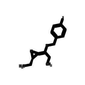 CC/C(OCc1ccc(I)cc1)=C1/O[C@@H]1CC